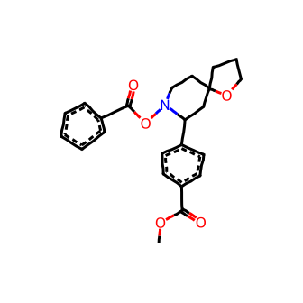 COC(=O)c1ccc(C2CC3(CCCO3)CCN2OC(=O)c2ccccc2)cc1